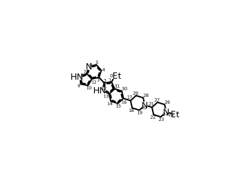 CCc1c(-c2ccnc3[nH]ccc23)[nH]c2ccc(C3CCN(C4CCN(CC)CC4)CC3)cc12